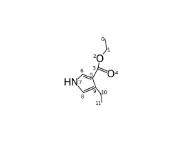 CCOC(=O)c1c[nH]cc1CC